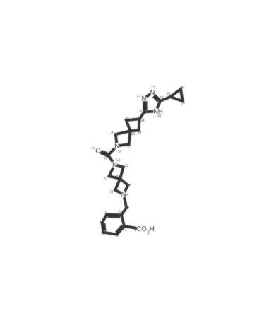 O=C(O)c1ccccc1CN1CC2(C1)CN(C(=O)N1CC3(CC(c4nnc(C5CC5)[nH]4)C3)C1)C2